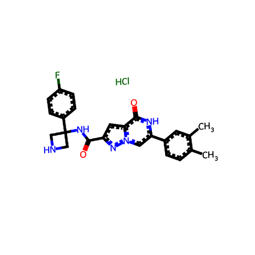 Cc1ccc(-c2cn3nc(C(=O)NC4(c5ccc(F)cc5)CNC4)cc3c(=O)[nH]2)cc1C.Cl